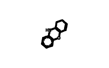 C1=CC2=C(CC1)Nc1ccccc1O2